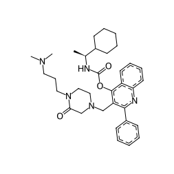 C[C@H](NC(=O)Oc1c(CN2CCN(CCCN(C)C)C(=O)C2)c(-c2ccccc2)nc2ccccc12)C1CCCCC1